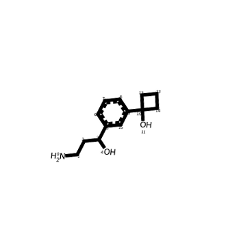 NCCC(O)c1cccc(C2(O)CCC2)c1